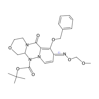 COCO/N=c1\ccn2c(c1OCc1ccccc1)C(=O)N1CCOCC1N2C(=O)OC(C)(C)C